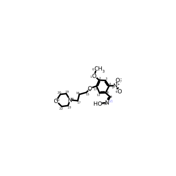 COc1cc([N+](=O)[O-])c(/C=N\O)cc1OCCCN1CCOCC1